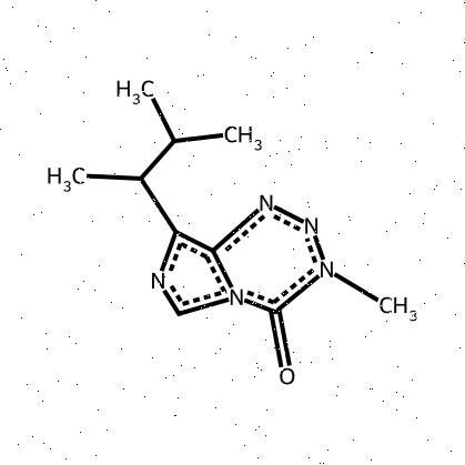 CC(C)C(C)c1ncn2c(=O)n(C)nnc12